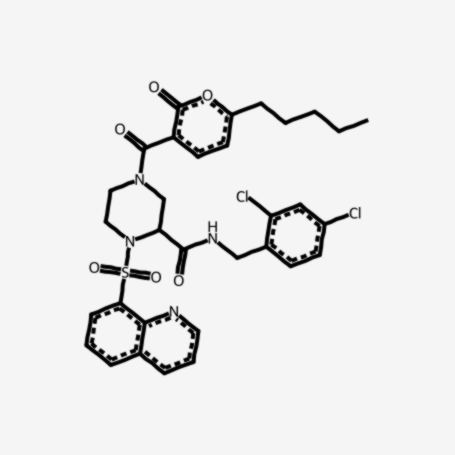 CCCCCc1ccc(C(=O)N2CCN(S(=O)(=O)c3cccc4cccnc34)C(C(=O)NCc3ccc(Cl)cc3Cl)C2)c(=O)o1